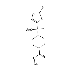 CCCCOC(=O)[C@H]1CC[C@H](C(C)(OC)c2ncc(Br)s2)CC1